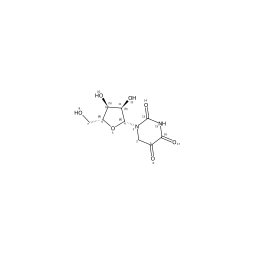 O=C1CN([C@@H]2O[C@H](CO)[C@@H](O)[C@H]2O)C(=O)NC1=O